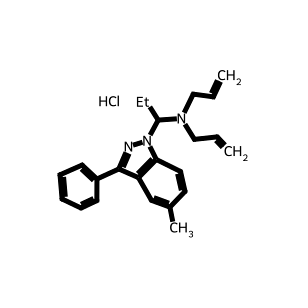 C=CCN(CC=C)C(CC)n1nc(-c2ccccc2)c2cc(C)ccc21.Cl